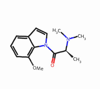 COc1cccc2ccn(C(=O)[C@H](C)N(C)C)c12